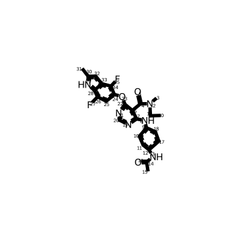 CCN(C)C(=O)c1c(Nc2ccc(NC(C)=O)cc2)ncnc1Oc1cc(F)c2[nH]c(C)cc2c1F